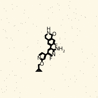 Nc1nc(F)c(-c2ccnc(OCC3CC3)c2)cc1-c1cc2c(cc1F)C(=O)NCC2